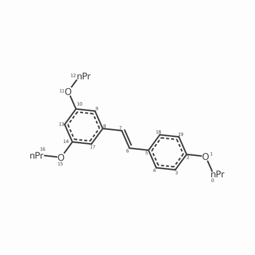 CCCOc1ccc(C=Cc2cc(OCCC)cc(OCCC)c2)cc1